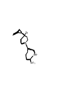 O=[N+]([O-])C1CCC(N2CCC(O)(C3CC3)CC2)CN1